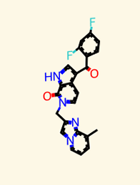 Cc1cccn2cc(Cn3ccc4c(C(=O)c5ccc(F)cc5F)c[nH]c4c3=O)nc12